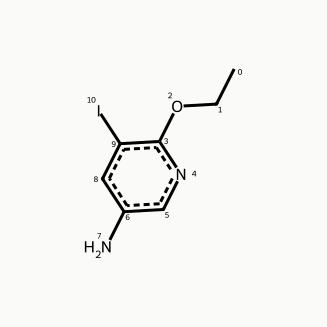 CCOc1ncc(N)cc1I